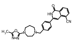 Cc1nnc(N2CCCN(Cc3ccc(-c4cc5c(C#N)cccc5c(=O)[nH]4)cc3)CC2)o1